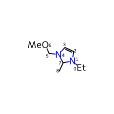 CCN1C=CN(COC)C1C